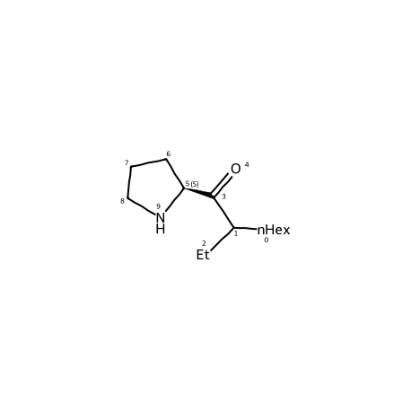 CCCCCCC(CC)C(=O)[C@@H]1CCCN1